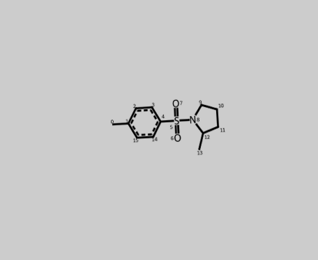 Cc1ccc(S(=O)(=O)N2CCCC2C)cc1